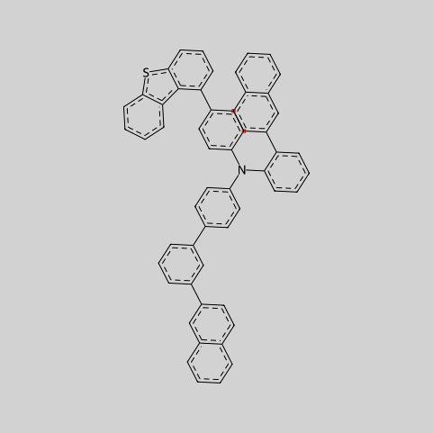 c1cc(-c2ccc(N(c3ccc(-c4cccc5sc6ccccc6c45)cc3)c3ccccc3-c3ccc4ccccc4c3)cc2)cc(-c2ccc3ccccc3c2)c1